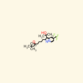 CC(C)(C)CC(=O)CCCCc1nn2ccc(C(F)(F)F)cc2c1C(C)(C)O